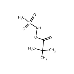 CC(C)(C)C(=O)ONS(C)(=O)=O